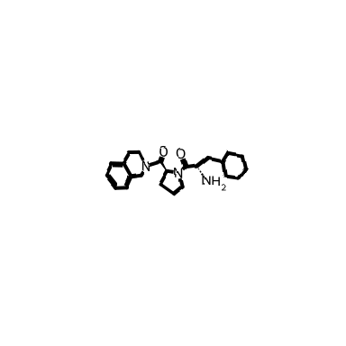 N[C@@H](CC1CCCCC1)C(=O)N1CCC[C@H]1C(=O)N1CCc2ccccc2C1